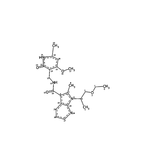 CCOCC(C)n1c(C)c(C(=O)NCc2c(OC)cc(C)[nH]c2=O)c2cccnc21